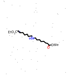 CCOC(=O)/C=C/CCCCCNCCCCCCCC(=O)OC